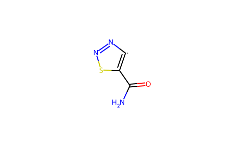 NC(=O)c1[c]nns1